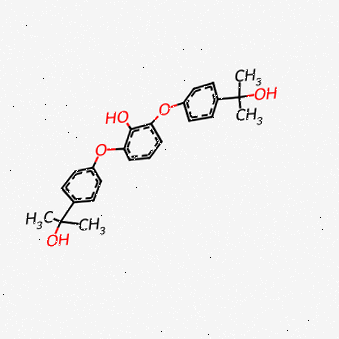 CC(C)(O)c1ccc(Oc2cccc(Oc3ccc(C(C)(C)O)cc3)c2O)cc1